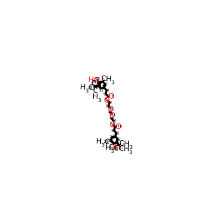 Cc1cc(CCC(=O)OCCOCOCCOC(=O)CCc2cc(C)c(O)c(C(C)(C)C)c2)cc(C(C)(C)C)c1O